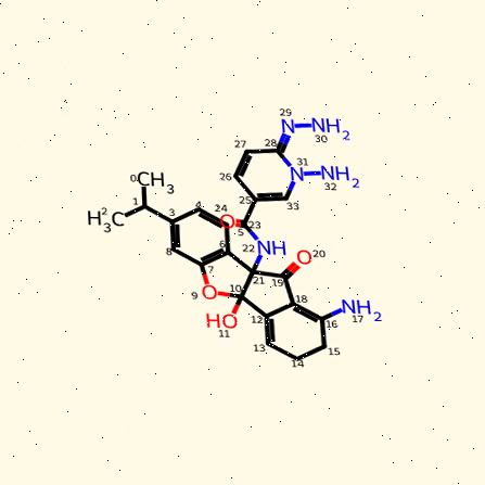 CC(C)c1ccc2c(c1)OC1(O)C3=CCCC(N)=C3C(=O)C21NC(=O)c1cc/c(=N/N)n(N)c1